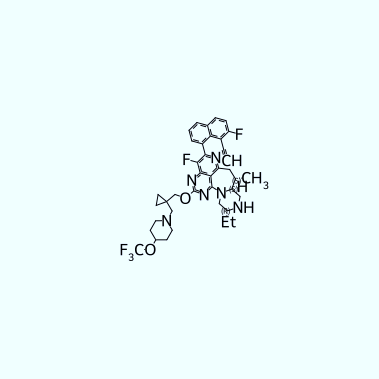 C#Cc1c(F)ccc2cccc(-c3nc4c5c(nc(OCC6(CN7CCC(OC(F)(F)F)CC7)CC6)nc5c3F)N3C[C@@H](CC)NC[C@@H]3[C@@H](C)C4)c12